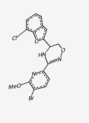 COc1nc(C2=NOCC(c3cc4cccc(Cl)c4o3)N2)ccc1Br